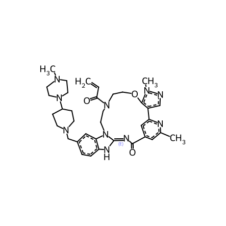 C=CC(=O)N1CCOc2c(cnn2C)-c2cc(cc(C)n2)C(=O)/N=C2\Nc3ccc(CN4CCC(N5CCN(C)CC5)CC4)cc3N2CC1